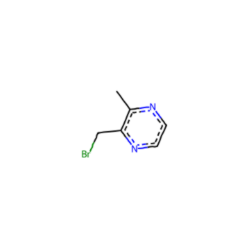 Cc1nccnc1CBr